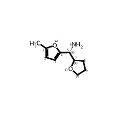 Cc1ccc([C@H](N)[C@H]2CCCO2)o1